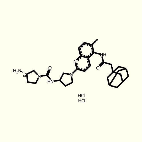 Cc1ccc2nc(N3CCC(NC(=O)N4CC[C@H](N)C4)C3)ccc2c1NC(=O)CC12CC3CC(CC(C3)C1)C2.Cl.Cl